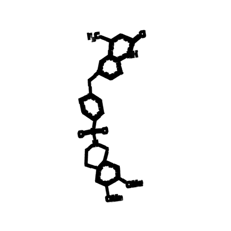 COc1cc2c(cc1OC)CN(S(=O)(=O)c1ccc(Cc3ccc4[nH]c(=O)cc(C(F)(F)F)c4c3)cc1)CC2